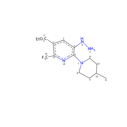 CCOC(=O)c1cc(NN)c(N2CCC(C)CC2)nc1C(F)(F)F